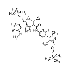 C=NN(/C(=C\C)c1nnc(C(C(=O)Nc2ccc(-c3c(C)nn(COCC[Si](C)(C)C)c3C)c(F)n2)C(C2CC2)C2CC2)n1COCC[Si](C)(C)C)C(C)C